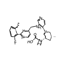 C[C@@H]1C[C@H](NC(=O)O)CN(c2ccncc2NCc2ccnc(-c3c(F)cccc3F)n2)C1